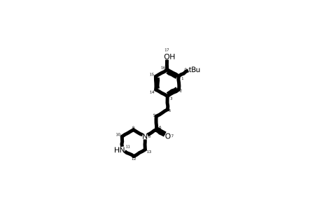 CC(C)(C)c1cc(CCC(=O)N2CCNCC2)ccc1O